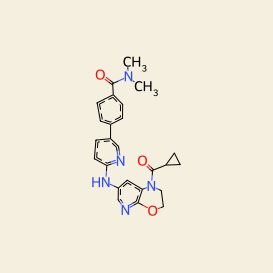 CN(C)C(=O)c1ccc(-c2ccc(Nc3cnc4c(c3)N(C(=O)C3CC3)CCO4)nc2)cc1